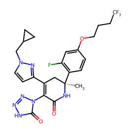 C[C@@]1(c2ccc(OCCCC(F)(F)F)cc2F)CC(c2ccn(CC3CC3)n2)=C(n2nn[nH]c2=O)C(=O)N1